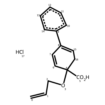 C=CCOC1(C(=O)O)C=CC(c2ccccc2)=CC1.Cl